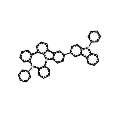 c1ccc(-n2c3ccccc3c3cc(-c4ccc5c(c4)c4cccc6c7ccccc7n(-c7ccccc7)c7ccccc7n5c64)ccc32)cc1